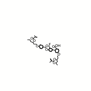 C=C(C)C(=O)OC(CCC)CCOc1ccc(C(=O)Oc2ccc(-c3cc(OCCC(CCC)OC(=O)C(=C)C)ccc3C(=O)O)cc2CF)cc1